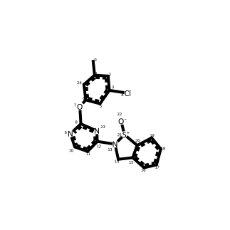 Cc1cc(Cl)cc(Oc2nccc(N3Cc4ccccc4[S+]3[O-])n2)c1